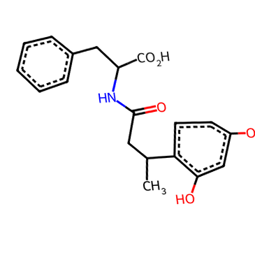 CC(CC(=O)NC(Cc1ccccc1)C(=O)O)c1ccc(O)cc1O